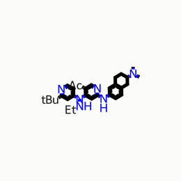 CCNN(c1ccnc(C(C)(C)C)c1)c1cc(Nc2ccc3c(c2)CCC(N(C)C)C3)ncc1C(C)=O